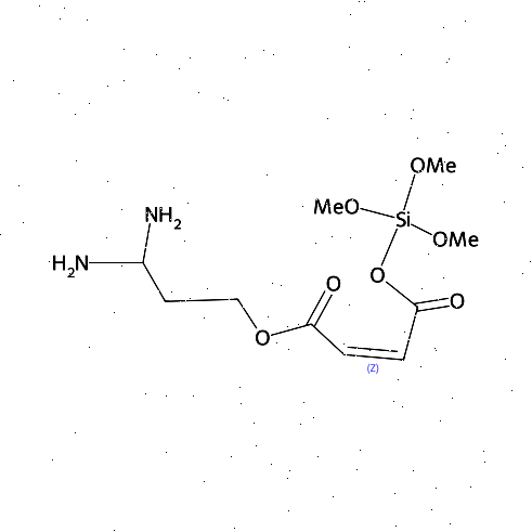 CO[Si](OC)(OC)OC(=O)/C=C\C(=O)OCCC(N)N